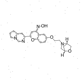 O/N=c1/cc(-c2cc3cccn3cn2)oc2ccc(OCCN3C[C@@H]4C[C@H]3CO4)cc12